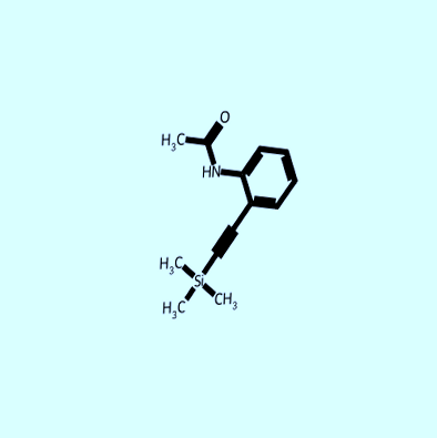 CC(=O)Nc1ccccc1C#C[Si](C)(C)C